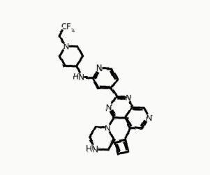 FC(F)(F)CN1CCC(Nc2cc(-c3nc(N4CCNCC4)c4c(C5=CC=C5)cncc4n3)ccn2)CC1